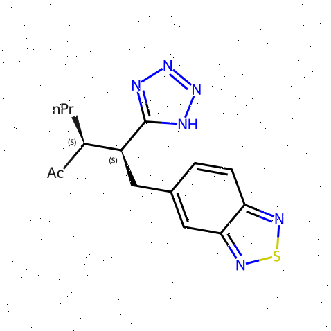 CCC[C@H](C(C)=O)[C@H](Cc1ccc2nsnc2c1)c1nnn[nH]1